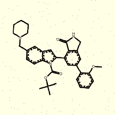 COc1ccccc1-c1cc2c(c(-c3cc4cc(CN5CCCCC5)ccc4n3C(=O)OC(C)(C)C)c1)C(=O)NC2